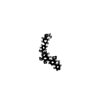 CCn1c(=O)c(-c2ccc(-c3ccncc3F)cc2Cl)cc2cnc(Nc3ccc(C4CCN(C)CC4)cc3)nc21